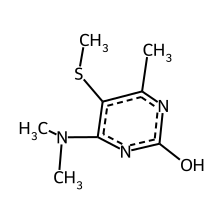 CSc1c(C)nc(O)nc1N(C)C